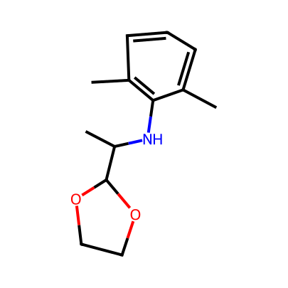 Cc1cccc(C)c1NC(C)C1OCCO1